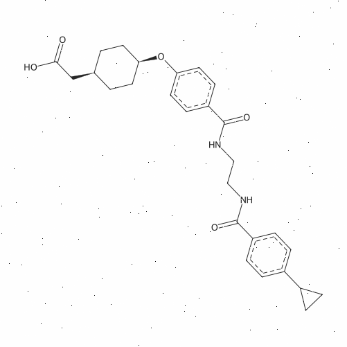 O=C(O)C[C@H]1CC[C@@H](Oc2ccc(C(=O)NCCNC(=O)c3ccc(C4CC4)cc3)cc2)CC1